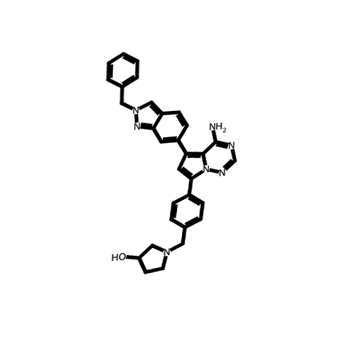 Nc1ncnn2c(-c3ccc(CN4CCC(O)C4)cc3)cc(-c3ccc4cn(Cc5ccccc5)nc4c3)c12